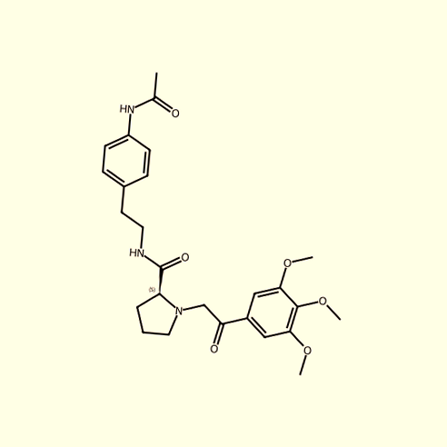 COc1cc(C(=O)CN2CCC[C@H]2C(=O)NCCc2ccc(NC(C)=O)cc2)cc(OC)c1OC